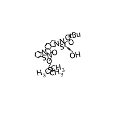 CC(C)(C)OC(=O)c1nc(N2CCc3cccc(C(=O)N(COCC[Si](C)(C)C)c4nc5ccccc5s4)c3C2)sc1C#CCO